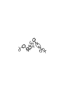 CC(=O)c1cccc(-c2cnn3ccc(C(=O)Nc4ccccc4N4CCN(C(=O)OC(C)(C)C)CC4)nc23)c1